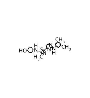 Cc1cc(C)cc(Nc2nccc(-c3nc(C)c(CNC4CCC(O)CC4)s3)n2)c1